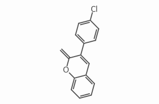 C=C1Oc2ccccc2C=C1c1ccc(Cl)cc1